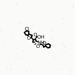 O=C(Nc1scc(-c2cc3cc(Cl)ccc3o2)c1C(=O)O)c1cc2ccccc2o1